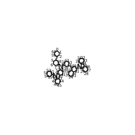 c1ccc(-c2cccc(N(c3cccc(-c4cc(-n5c6ccccc6c6ccccc65)cc5ccccc45)c3)c3ccc4c5ccccc5n(-c5ccccc5)c4c3)c2)cc1